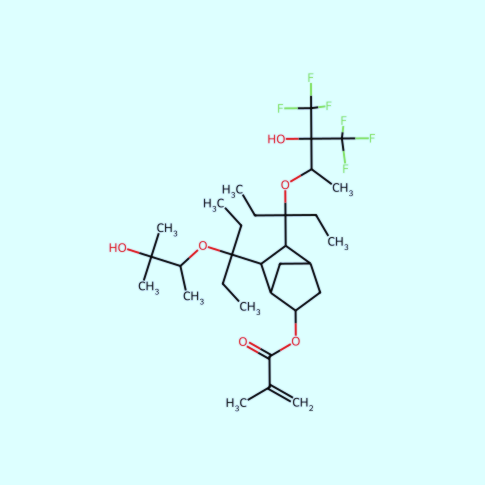 C=C(C)C(=O)OC1CC2CC1C(C(CC)(CC)OC(C)C(C)(C)O)C2C(CC)(CC)OC(C)C(O)(C(F)(F)F)C(F)(F)F